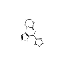 c1csc(C(/N=C2/CCCCN2)C2CCCC2)c1